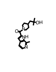 Cc1nccc2cc(C(=O)N3CCC(CC(C)(C)O)CC3)[nH]c12